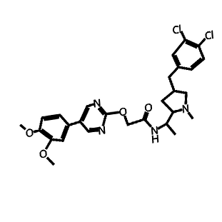 COc1ccc(-c2cnc(OCC(=O)NC(C)C3CC(Cc4ccc(Cl)c(Cl)c4)CN3C)nc2)cc1OC